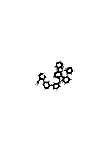 N#Cc1ccncc1-c1cccc(-c2cccc(-n3c4ccccc4c4c3ccc3c5ccccc5n(-c5ccccc5)c34)c2)c1